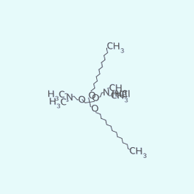 CCCCCCCCCCCCCCOCC(COCCCCCCCCCCCCCC)(COCCN(CC)CC)COCCN(CC)CC.Cl.Cl